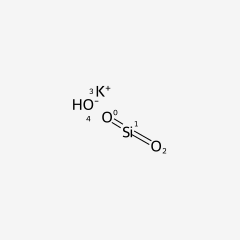 O=[Si]=O.[K+].[OH-]